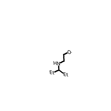 CCC(CC)NCC[O]